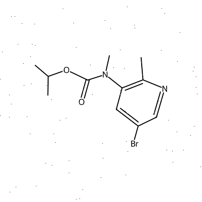 Cc1ncc(Br)cc1N(C)C(=O)OC(C)C